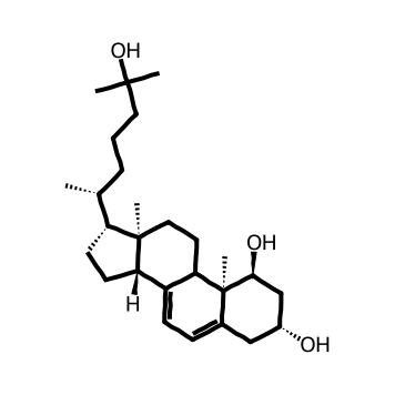 C[C@H](CCCC(C)(C)O)[C@H]1CC[C@H]2C3=CC=C4C[C@@H](O)C[C@H](O)[C@]4(C)C3CC[C@]12C